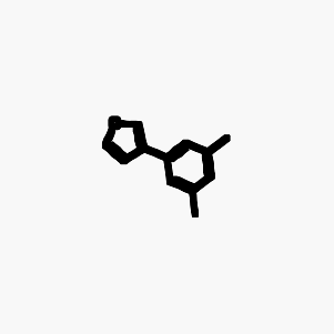 Cc1cc(C)cc(-c2ccoc2)c1